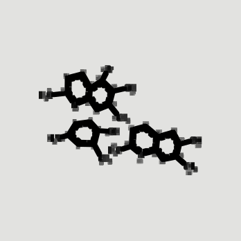 Cc1cc(N)ccc1O.Cc1ccc2c(Br)c(O)c(C)cc2n1.Cc1ccc2cc(O)c(C)cc2n1